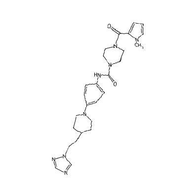 Cn1cccc1C(=O)N1CCN(C(=O)Nc2ccc(N3CCC(CCn4cncn4)CC3)cc2)CC1